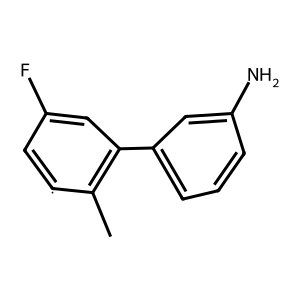 Cc1[c]cc(F)cc1-c1cccc(N)c1